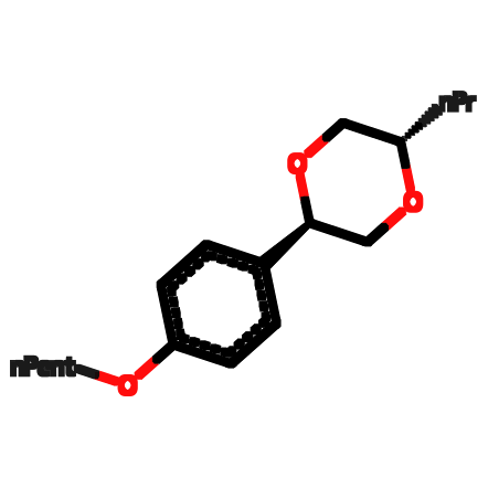 CCCCCOc1ccc([C@@H]2CO[C@@H](CCC)CO2)cc1